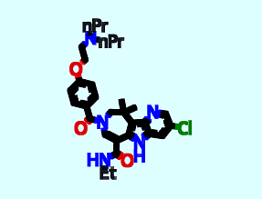 CCCN(CCC)CCOc1ccc(C(=O)N2C=C(C(=O)NCC)c3[nH]c4cc(Cl)cnc4c3C(C)(C)C2)cc1